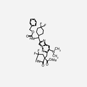 COC(=O)C1(Cc2nn3cc(C(NC(=O)OCc4ccccc4)C4CCC(F)(F)CC4)nc3cc2N(C)C)CC(F)(F)CNC1=O